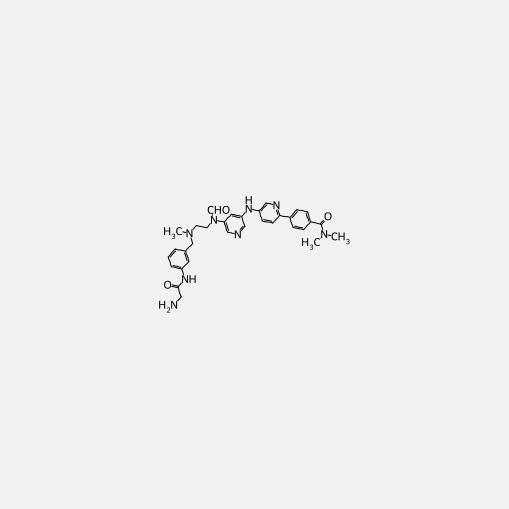 CN(CCN(C=O)c1cncc(Nc2ccc(-c3ccc(C(=O)N(C)C)cc3)nc2)c1)Cc1cccc(NC(=O)CN)c1